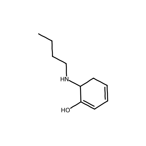 CCCCNC1CC=CC=C1O